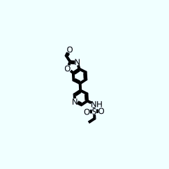 CCS(=O)(=O)Nc1cncc(-c2ccc3nc(C=O)oc3c2)c1